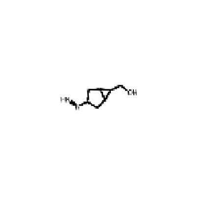 N=NC1CC2C(CO)C2C1